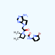 C[C@@H]1C[C@@H](C(=O)Nc2cccc(Br)n2)N(C(=O)Cn2ccc3c(N)ncnc32)[C@@H]1C